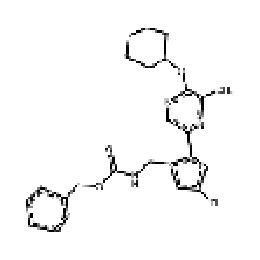 Cc1nc(-c2sc(Cl)cc2CNC(=O)OCc2ccccc2)cnc1OC1CCCCC1